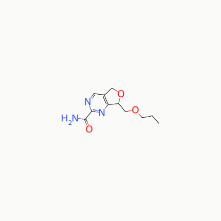 CCCOCC1OCc2cnc(C(N)=O)nc21